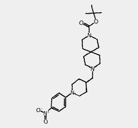 CC(C)(C)OC(=O)N1CCC2(CCN(CC3CCN(c4ccc([N+](=O)[O-])cc4)CC3)CC2)CC1